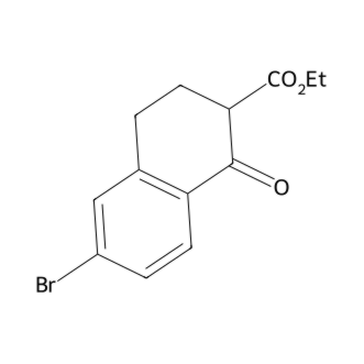 CCOC(=O)C1CCc2cc(Br)ccc2C1=O